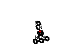 c1ccc(-c2nc3ccccc3c3ccc4c5ccccc5n(-c5ccc(-c6ccc7ncccc7n6)cc5)c4c23)cc1